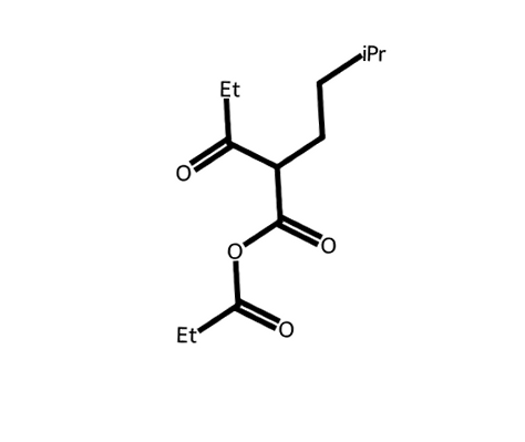 CCC(=O)OC(=O)C(CCC(C)C)C(=O)CC